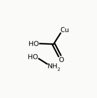 NO.O=[C](O)[Cu]